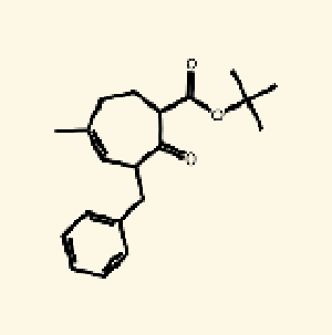 CC1=CC(Cc2ccccc2)C(=O)C(C(=O)OC(C)(C)C)CC1